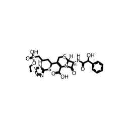 CCOP(=O)(O)CCCC(Sc1nnn[nH]1)C1=C(C(=O)O)N2C(=O)[C@@H](NC(=O)C(O)c3ccccc3)[C@@H]2SC1